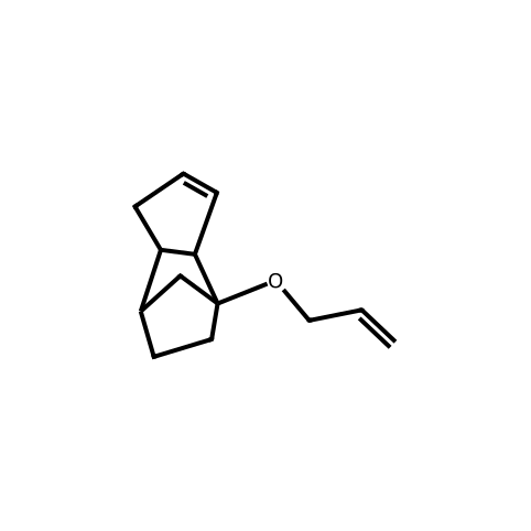 C=CCOC12CCC(C1)C1CC=CC12